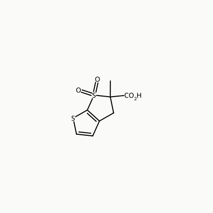 CC1(C(=O)O)Cc2ccsc2S1(=O)=O